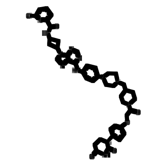 O=C1CC[C@@H](c2ccc(OCC(=O)N3CCC(CN4CCN(c5ccc(Nc6ncnc7c6ncn7C6CC(NC(=O)c7cccc(Cl)n7)C6)cc5)CC4)CC3)cc2)C(=O)N1